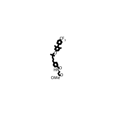 COC(=O)CCNC(=O)c1ccc(CCCC(C)(C)COc2cc(C)c(-c3ccc(C(F)(F)F)cc3)c(C)c2)cc1